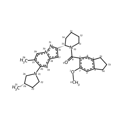 COc1cc2c(cc1C(=O)N1CCCC[C@H]1c1cc3nc(N4CC[C@H](C)C4)c(C)cn3n1)CCC2